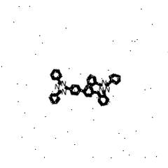 c1ccc(-c2nc(-c3ccccc3)nc(-c3ccc(-c4ccc(-c5c6ccccc6c6nc(-c7ccccc7)nc(-c7ccccc7)n56)cc4)cc3)n2)cc1